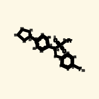 CCCS(=O)(=O)N(Cc1ccc(F)cc1)c1ccc(N2CCCC2)nc1